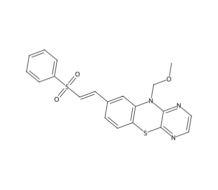 COCN1c2cc(/C=C/S(=O)(=O)c3ccccc3)ccc2Sc2nccnc21